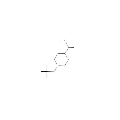 CC(N)C1CCN(CC(F)(F)F)CC1